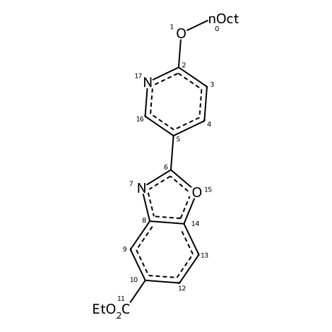 CCCCCCCCOc1ccc(-c2nc3cc(C(=O)OCC)ccc3o2)cn1